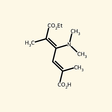 CCOC(=O)C(C)=C(C=C(C)C(=O)O)N(C)C